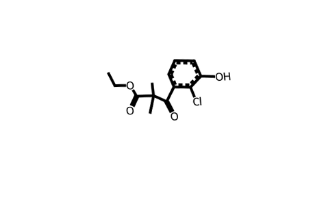 CCOC(=O)C(C)(C)C(=O)c1cccc(O)c1Cl